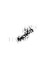 CNc1cc(F)cc2cc(C(=O)Nc3ccc(NC(=O)NS(C)(=O)=O)cc3)c(=O)[nH]c12